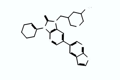 COC1COCC(Cn2c(=O)n(C3=CCCCC3)c3ncc(-c4cnc5[nH]ccc5c4)cc32)C1